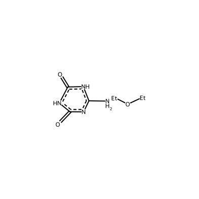 CCOCC.Nc1nc(=O)[nH]c(=O)[nH]1